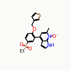 CCS(=O)(=O)c1ccc(OCc2ccsc2)c(-c2cc(C)[n+]([O-])c3[nH]ccc23)c1